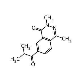 Cc1nn(C)c(=O)c2cc(C(=O)C(C)C)ccc12